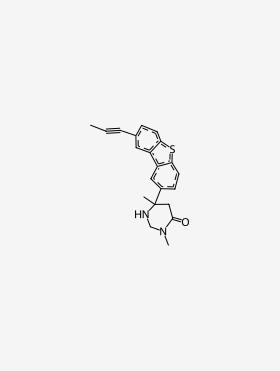 CC#Cc1ccc2sc3ccc(C4(C)CC(=O)N(C)CN4)cc3c2c1